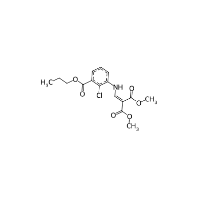 CCCOC(=O)c1cccc(NC=C(C(=O)OC)C(=O)OC)c1Cl